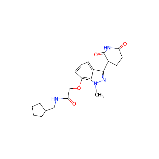 Cn1nc(C2CCC(=O)NC2=O)c2cccc(OCC(=O)NCC3CCCC3)c21